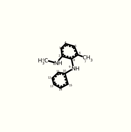 CNc1cccc(C)c1Nc1ccccc1